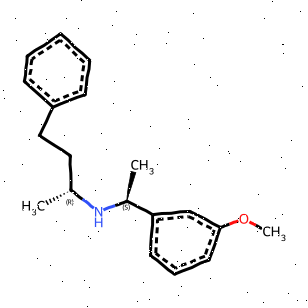 COc1cccc([C@H](C)N[C@H](C)CCc2ccccc2)c1